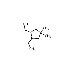 CCN1CC(C)(C)C[C@@H]1CO